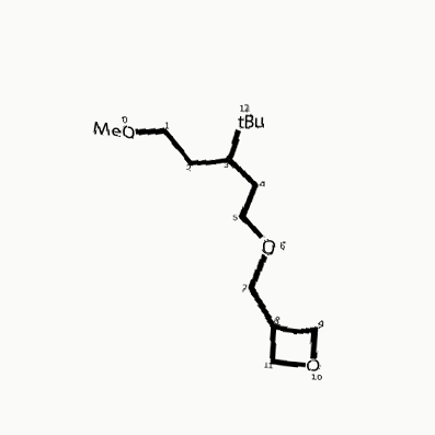 COCCC(CCOCC1COC1)C(C)(C)C